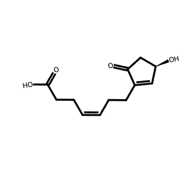 O=C(O)CC/C=C\CCC1=C[C@H](O)CC1=O